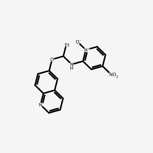 CCC(Nc1cc([N+](=O)[O-])cc[n+]1[O-])Oc1ccc2ncccc2c1